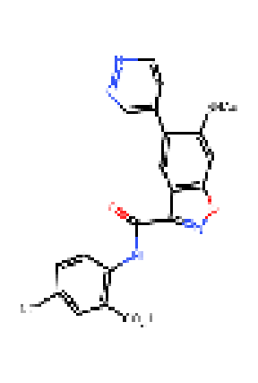 CC(=O)Nc1cc2onc(C(=O)Nc3ccc(C#N)cc3C(=O)O)c2cc1-c1ccnnc1